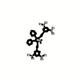 CCN(CC)c1cc(C#CC2=C(c3ccccc3)C(c3ccccc3)=C(C#Cc3cc(N(CC)CC)cc(N(CC)CC)c3)[Si]2(C)C)cc(N(CC)CC)c1